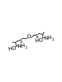 CC(CSCCOCCSCC(C)C(N)O)C(N)O